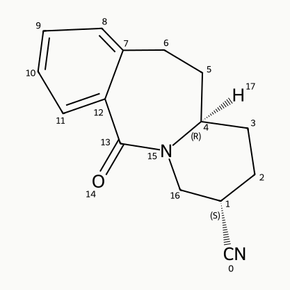 N#C[C@H]1CC[C@@H]2CCc3ccccc3C(=O)N2C1